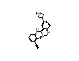 C#Cc1cccc(Nc2ncnc3cnc(C4CNC4)cc23)c1F